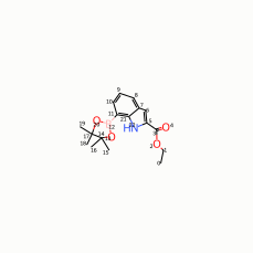 CCOC(=O)c1cc2cccc(B3OC(C)(C)C(C)(C)O3)c2[nH]1